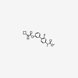 COC(=O)C(C)c1ccc(-c2cccc(OC(=O)NC3CCC3)c2)c(F)c1